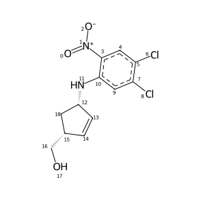 O=[N+]([O-])c1cc(Cl)c(Cl)cc1N[C@@H]1C=C[C@H](CO)C1